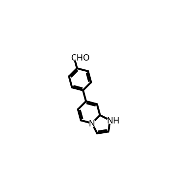 O=Cc1ccc(C2=CC3NC=CN3C=C2)cc1